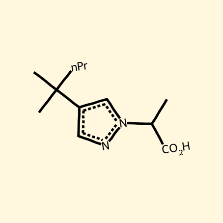 CCCC(C)(C)c1cnn(C(C)C(=O)O)c1